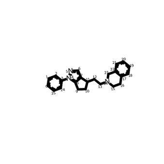 c1ccc(-n2ncc3c2CCC3CCN2CCc3ccccc3C2)cc1